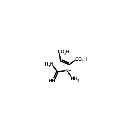 N=C(N)NN.O=C(O)/C=C\C(=O)O